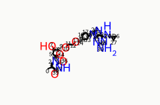 Cc1cn([C@@H]2CC(O)[C@H](COCCOC[C@H]3C=C[C@@H](n4cnc5c(NC6CC6)nc(N)nc54)C3)O2)c(=O)[nH]c1=O